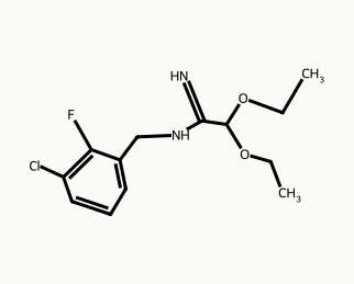 CCOC(OCC)C(=N)NCc1cccc(Cl)c1F